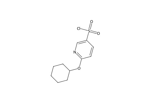 O=S(=O)(Cl)c1ccc(OC2CCCCC2)nc1